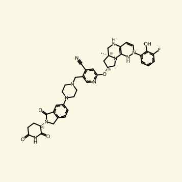 C[C@]12CNC3=C(NN(c4cccc(F)c4O)C=C3)N1C[C@H](Oc1cc(C#N)c(CN3CCN(c4ccc5c(c4)C(=O)N([C@H]4CCC(=O)NC4=O)C5)CC3)cn1)C2